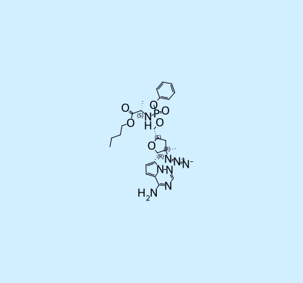 CCCCOC(=O)[C@H](C)NP(=O)(OC[C@@H]1C[C@@](C)(N=[N+]=[N-])[C@H](c2ccc3c(N)ncnn23)O1)Oc1ccccc1